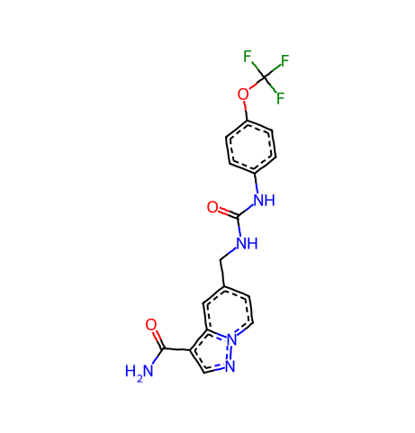 NC(=O)c1cnn2ccc(CNC(=O)Nc3ccc(OC(F)(F)F)cc3)cc12